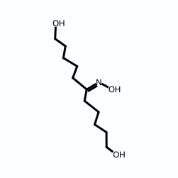 OCCCCCC(CCCCCO)=NO